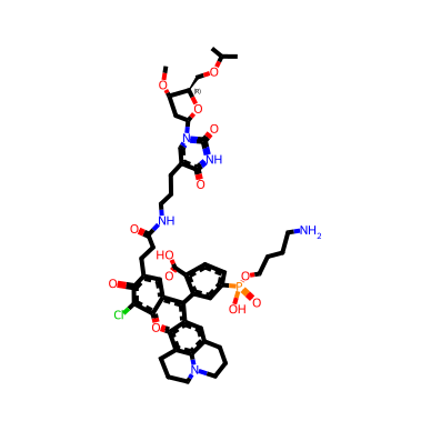 COC1CC(n2cc(CCCNC(=O)CCc3cc4c(-c5cc(P(=O)(O)OCCCCN)ccc5C(=O)O)c5cc6c7c(c5oc-4c(Cl)c3=O)CCCN7CCC6)c(=O)[nH]c2=O)O[C@@H]1COC(C)C